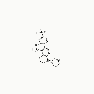 Cc1c(-c2ccc(C(F)(F)F)cc2O)nnc2c1CCCN2[C@@H]1CCCNC1